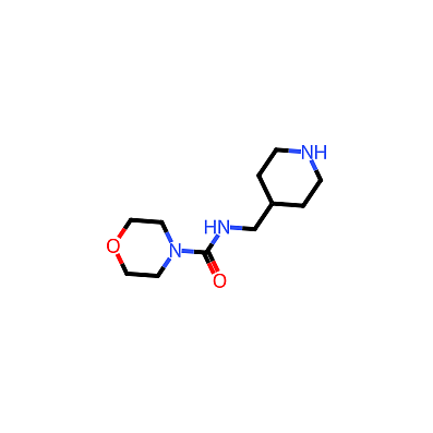 O=C(NCC1CCNCC1)N1CCOCC1